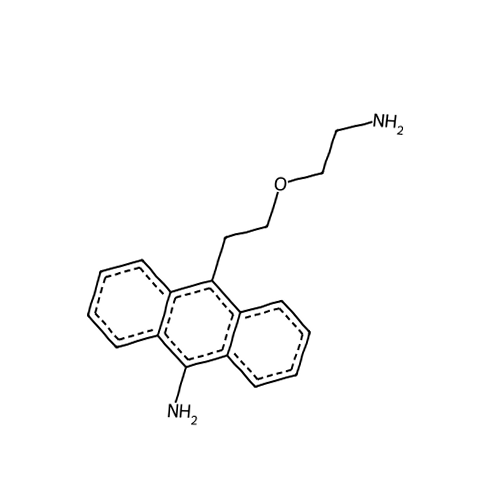 NCCOCCc1c2ccccc2c(N)c2ccccc12